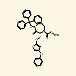 CC(C)(C)OC(=O)N1CCCN(OC(c2ccccc2)(c2ccccc2)c2ccccc2)C(=O)[C@H]1COc1cc(Oc2ccccc2)cs1